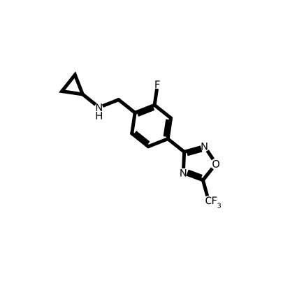 Fc1cc(-c2noc(C(F)(F)F)n2)ccc1CNC1CC1